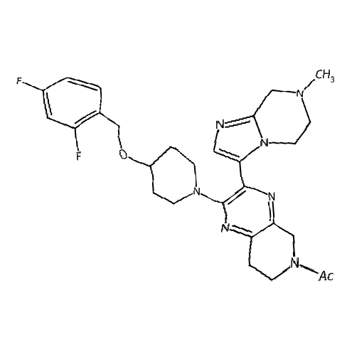 CC(=O)N1CCc2nc(N3CCC(OCc4ccc(F)cc4F)CC3)c(-c3cnc4n3CCN(C)C4)nc2C1